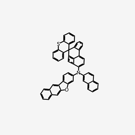 c1ccc2c(c1)Sc1ccccc1C21c2ccccc2-c2ccc(N(c3ccc4ccccc4c3)c3ccc4c(c3)oc3cc5ccccc5cc34)c3cccc1c23